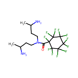 CC(N)CCN(CCC(C)N)C(=O)C1(F)C(F)(F)C(F)(F)C(F)(F)C(F)(F)C1(F)F